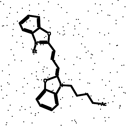 CC[n+]1c(/C=C/C=C2\Oc3ccccc3N2CCCCC(C)=O)oc2ccccc21